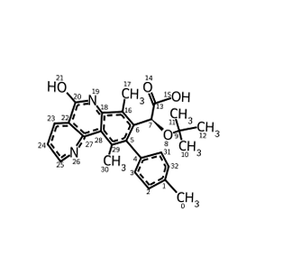 Cc1ccc(-c2c([C@H](OC(C)(C)C)C(=O)O)c(C)c3nc(O)c4cccnc4c3c2C)cc1